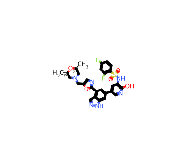 C[C@@H]1CN(Cc2cnc(-c3cc(-c4cnc(O)c(NS(=O)(=O)c5ccc(F)cc5F)c4)cc4[nH]ncc34)o2)C[C@H](C)O1